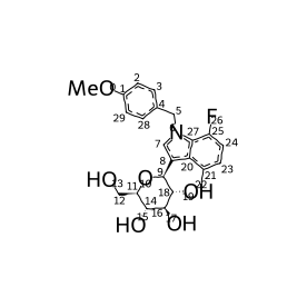 COc1ccc(Cn2cc([C@@H]3O[C@H](CO)[C@@H](O)[C@H](O)[C@H]3O)c3c(C)ccc(F)c32)cc1